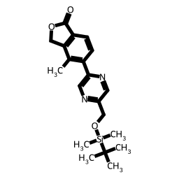 Cc1c(-c2cnc(CO[Si](C)(C)C(C)(C)C)cn2)ccc2c1COC2=O